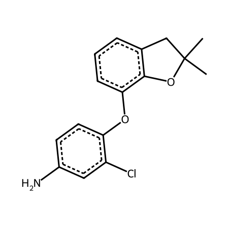 CC1(C)Cc2cccc(Oc3ccc(N)cc3Cl)c2O1